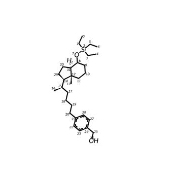 CC[Si](CC)(CC)OC1CCC[C@]2(C)[C@@H]([C@H](C)CCCCc3ccc(CO)cc3)CC[C@@H]12